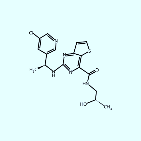 C[C@H](O)CNC(=O)c1nc(N[C@@H](C)c2cncc(Cl)c2)nc2ccsc12